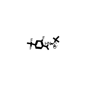 CC(N[S+]([O-])C(C)(C)C)c1ccc(C(C)(F)F)cc1F